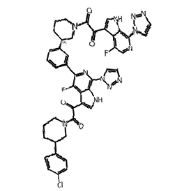 O=C(C(=O)N1CCC[C@H](c2cccc(-c3nc(-n4ccnn4)c4[nH]cc(C(=O)C(=O)N5CCCC(c6ccc(Cl)cc6)C5)c4c3F)c2)C1)c1c[nH]c2c(-n3ccnn3)ncc(F)c12